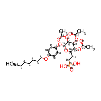 C#CCCCCCCOc1ccc(O[C@H]2O[C@H](CCP(=O)(O)O)[C@@H](OC(C)=O)[C@H](OC(C)=O)[C@@H]2OC(C)=O)cc1